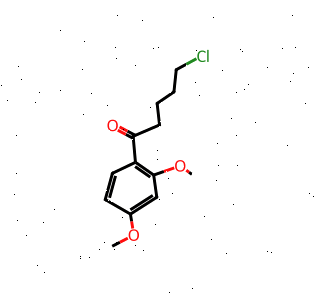 COc1ccc(C(=O)CCCCCl)c(OC)c1